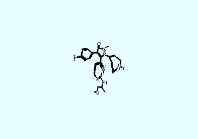 COCC(C)Nc1nccc(-c2c(-c3ccc(F)cc3)c(=O)n(C)n2C2CCNCC2)n1